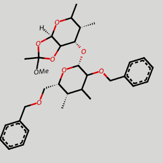 COC1(C)OC2[C@H](OC(C)[C@H](C)[C@@H]2O[C@H]2O[C@@H](COCc3ccccc3)[C@@H](C)C(C)C2OCc2ccccc2)O1